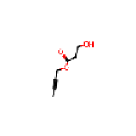 CC#CCOC(=O)CCO